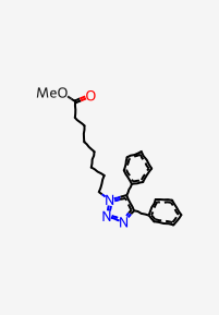 COC(=O)CCCCCCCn1nnc(-c2ccccc2)c1-c1ccccc1